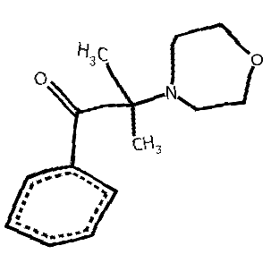 CC(C)(C(=O)c1ccccc1)N1CCOCC1